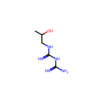 CC(O)CNC(=N)NC(=N)N